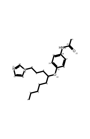 CCCCCC(CCCn1ccnc1)Oc1ccc(NC(C)=O)cc1